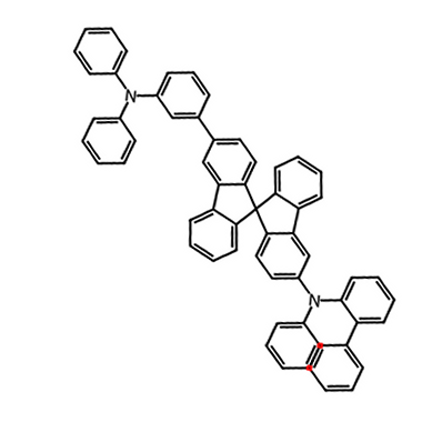 c1ccc(-c2ccccc2N(c2ccccc2)c2ccc3c(c2)-c2ccccc2C32c3ccccc3-c3cc(-c4cccc(N(c5ccccc5)c5ccccc5)c4)ccc32)cc1